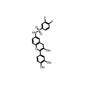 O=S(=O)(Nc1ccc2c(c1)CC(O)=C(c1ccc(O)c(O)c1)O2)c1ccc(F)c(F)c1